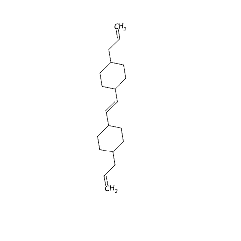 C=CCC1CCC(/C=C/C2CCC(CC=C)CC2)CC1